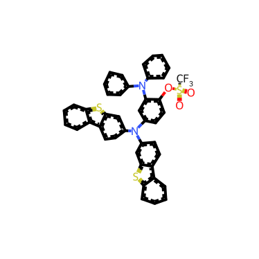 O=S(=O)(Oc1ccc(N(c2ccc3c(c2)sc2ccccc23)c2ccc3c(c2)sc2ccccc23)cc1N(c1ccccc1)c1ccccc1)C(F)(F)F